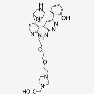 Nc1nnc(-c2ccccc2O)cc1-c1c(N2C3CCC2CNC3)ccnc1CCCOCCOCCN1CCN(CC(=O)O)CC1